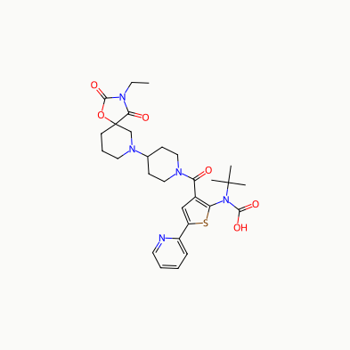 CCN1C(=O)OC2(CCCN(C3CCN(C(=O)c4cc(-c5ccccn5)sc4N(C(=O)O)C(C)(C)C)CC3)C2)C1=O